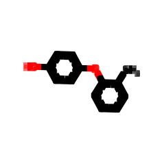 Oc1ccc(Oc2ccccc2[SiH3])cc1